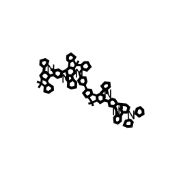 CC1(C)c2ccc(-c3ccc(N4c5ccccc5C5(C)c6ccccc6-c6c5c4c4c5ccccc5n5c7cc8c9c%10c(cc%11c%12ccccc%12n(c8cc7c6c45)c%119)C(C)(C)c4ccccc4-%10)cc3)cc2-c2c1cc1c3cc4c(cc3n3c5ccccc5c2c13)c1ccc(N(c2ccccc2)c2ccccc2)c2c3ccccc3n4c12